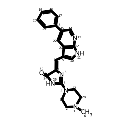 CN1CCN(C2=N/C(=C\c3c[nH]c4ncc(-c5ccccc5)cc34)C(=O)N2)CC1